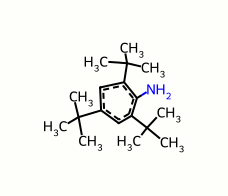 CC(C)(C)c1cc(C(C)(C)C)c(N)c(C(C)(C)C)c1